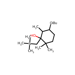 CC(C)COC1CCC(C)(C)C(O)(C[Si](C)(C)C)C1C